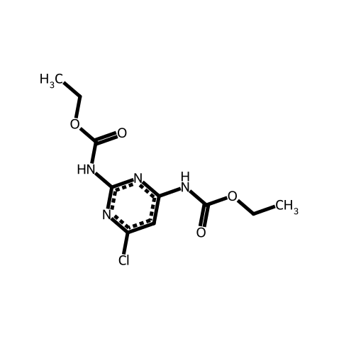 CCOC(=O)Nc1cc(Cl)nc(NC(=O)OCC)n1